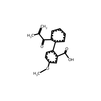 C=C(C)C(=O)c1ccccc1-c1ccc(OC)cc1C(=O)O